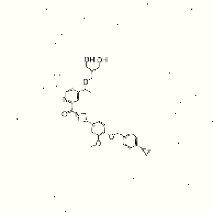 COc1cc(C2CN(C(=O)c3cc(C(C)OCC(CO)CO)ccn3)C2)ccc1OCc1ccc(C2CC2)cc1